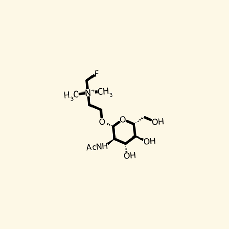 CC(=O)N[C@H]1[C@H](OCC[N+](C)(C)CF)O[C@H](CO)[C@@H](O)[C@@H]1O